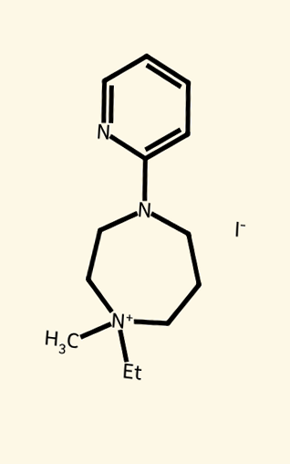 CC[N+]1(C)CCCN(c2ccccn2)CC1.[I-]